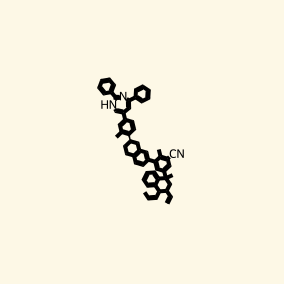 C=CC1CC(C)(c2cc(C#N)c(C)c(-c3ccc4c(c3)C[C@H](c3ccc(C5=CNC(c6ccccc6)=NC(c6ccccc6)=C5)cc3C)CC4)c2)c2ccccc2C1/C=C\C